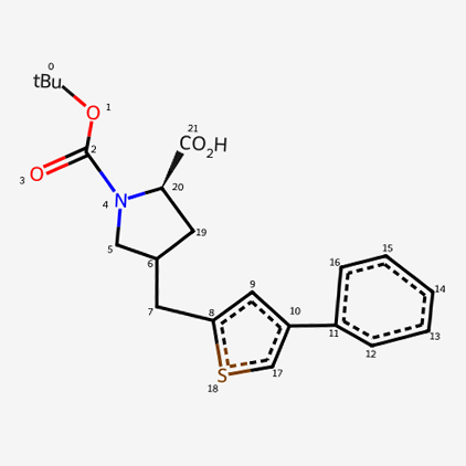 CC(C)(C)OC(=O)N1CC(Cc2cc(-c3ccccc3)cs2)C[C@@H]1C(=O)O